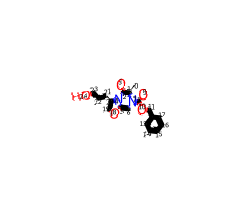 C[C@H]1C(=O)N2C(CN1C(=O)OCc1ccccc1)OC[C@@H]2CCCO